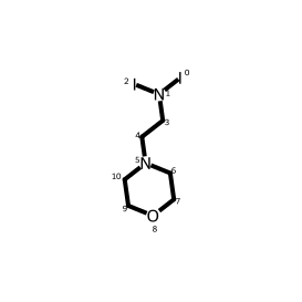 IN(I)CCN1CCOCC1